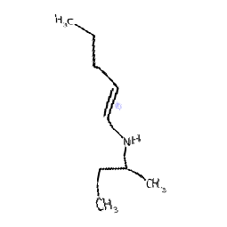 CCC/C=C/NC(C)CC